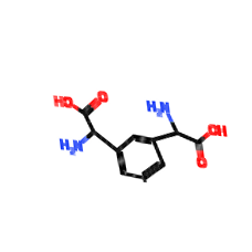 NC(C(=O)O)c1c[c]cc(C(N)C(=O)O)c1